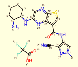 Cn1cc(NC(=O)c2csc3ncc(N[C@@H]4CCCC[C@@H]4N)nc23)c(C#N)n1.O=C(O)C(F)(F)F